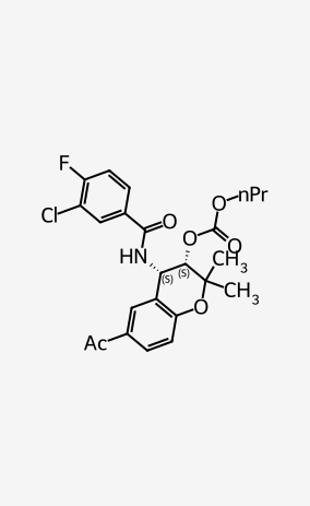 CCCOC(=O)O[C@H]1[C@@H](NC(=O)c2ccc(F)c(Cl)c2)c2cc(C(C)=O)ccc2OC1(C)C